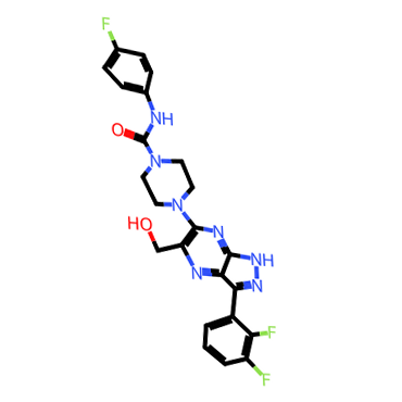 O=C(Nc1ccc(F)cc1)N1CCN(c2nc3[nH]nc(-c4cccc(F)c4F)c3nc2CO)CC1